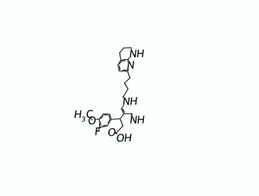 COc1ccc(C(CC(=O)O)/C(C=N)=C/NCCCCc2ccc3c(n2)NCCC3)cc1F